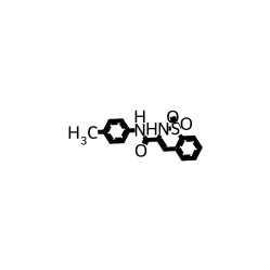 Cc1ccc(NC(=O)C2=Cc3ccccc3S(=O)(=O)N2)cc1